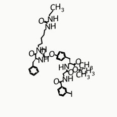 CCCNC(=O)NCCCCCNC(=O)[C@H](Cc1ccccc1)NC(=O)COc1ccc(C[C@H](NC(=O)CNC(=O)c2cccc(I)c2)C(=O)OC(C)(C)C)cc1